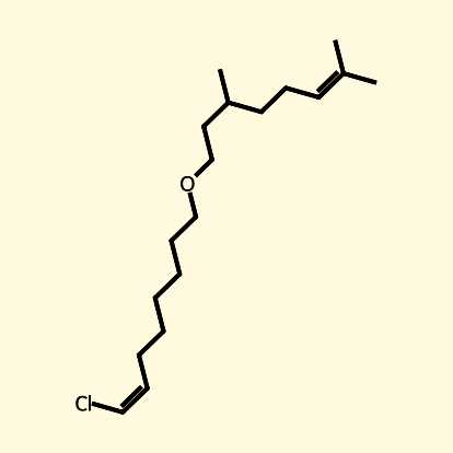 CC(C)=CCCC(C)CCOCCCCCC/C=C\Cl